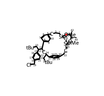 CO[Si]12CCCc3ccc(cc3)C(C(CC(C)(C)C)c3ccc(CCl)cc3)CC(CC(C)(C)C)c3ccc(cc3)CCC[Si](OC)(O[C@H](C)[C@H](C)O1)O2